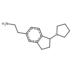 NCCc1ccc2c(c1)CCC2N1CCCC1